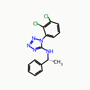 C[C@@H](Nc1nnnn1-c1cccc(Cl)c1Cl)c1ccccc1